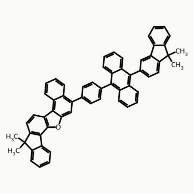 CC1(C)c2ccccc2-c2cc(-c3c4ccccc4c(-c4ccc(-c5cc6oc7c8c(ccc7c6c6ccccc56)C(C)(C)c5ccccc5-8)cc4)c4ccccc34)ccc21